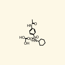 CC(=O)Nc1ccc(S(=O)(=O)NC2CCCCC2)cc1.O=C(O)O